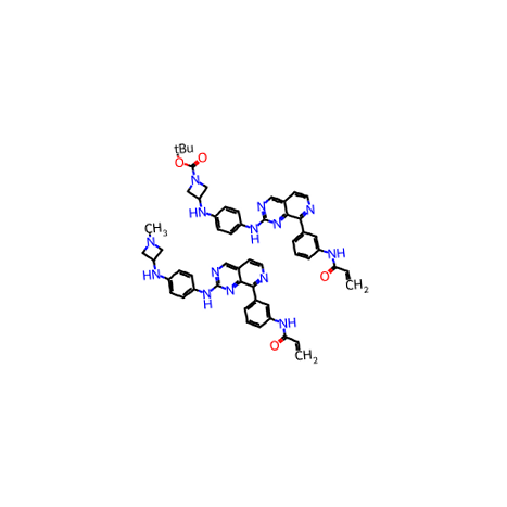 C=CC(=O)Nc1cccc(-c2nccc3cnc(Nc4ccc(NC5CN(C(=O)OC(C)(C)C)C5)cc4)nc23)c1.C=CC(=O)Nc1cccc(-c2nccc3cnc(Nc4ccc(NC5CN(C)C5)cc4)nc23)c1